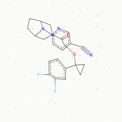 N#Cc1ccc(N2C3CCC2CN(C(=O)COC2(c4ccc(F)c(F)c4)CC2)C3)nc1